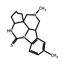 Cc1ccc2c(c1)C1CN(C)CC34CCCCC3NC(=S)N2C14